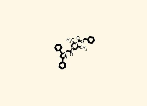 CC1CN(C(=O)Cn2nc(-c3ccccc3)cc2-c2ccccc2)CC(C)N1C(=O)OCc1ccccc1